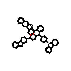 C1=Cc2c(n(-c3ccc(N(c4ccc(-c5ccc6c(c5)oc5ccccc56)cc4)c4ccccc4-c4cccc5c4oc4cc6ccccc6cc45)cc3)c3ccccc23)CC1